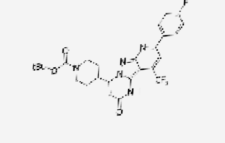 CC(C)(C)OC(=O)N1CCC(c2cc(=O)[nH]c3c4c(C(F)(F)F)cc(-c5ccc(F)cc5)nc4nn23)CC1